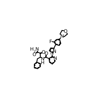 NC(=O)C(=O)C(Cc1ccccc1)NC(=O)c1cccnc1-n1ccc(-c2ccc(N3CCOCC3)cc2F)n1